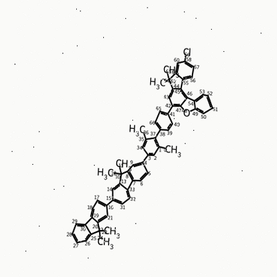 Cc1cc(-c2ccc3c(c2)C(C)(C)c2cc(-c4ccc5c(c4)C(C)(C)c4ccccc4-5)ccc2-3)cc(C)c1-c1ccc(-c2cc3c(c4c2oc2ccccc24)-c2ccc(Cl)cc2C3(C)C)cc1